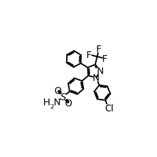 NS(=O)(=O)c1ccc(-c2c(-c3ccccc3)c(C(F)(F)F)nn2-c2ccc(Cl)cc2)cc1